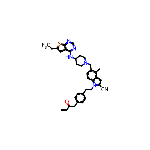 C=CC(=O)Cc1ccc(CCn2c(C#N)cc3c(C)c(CN4CCC(Nc5ncnc6sc(CC(F)(F)F)cc56)CC4)ccc32)cc1